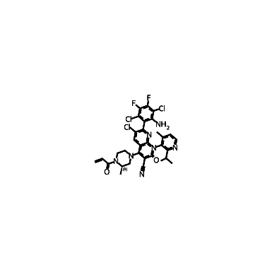 C=CC(=O)N1CCN(c2c(C#N)c(=O)n(-c3c(C)ccnc3C(C)C)c3nc(-c4c(N)c(Cl)c(F)c(F)c4Cl)c(Cl)cc23)C[C@H]1C